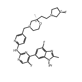 Cc1nc2c(F)cc(-c3nc(Nc4ccc(CN5CCO[C@](C)(CCN6CC[C@@H](F)C6)C5)cn4)ncc3F)cc2n1C(C)C